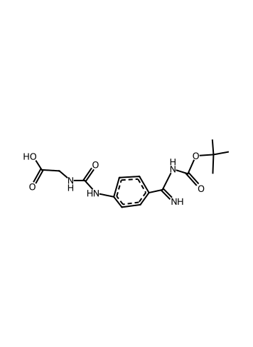 CC(C)(C)OC(=O)NC(=N)c1ccc(NC(=O)NCC(=O)O)cc1